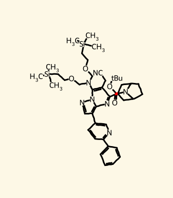 CC(C)(C)OC(=O)N1C2CCC1CC(c1nc3c(-c4ccc(-c5ccccc5)nc4)cnn3c(N(COCC[Si](C)(C)C)COCC[Si](C)(C)C)c1CC#N)C2